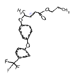 C=CCOC(=O)/C=C/C(C)Oc1ccc(Oc2ccc(C(F)(F)F)cc2)cc1